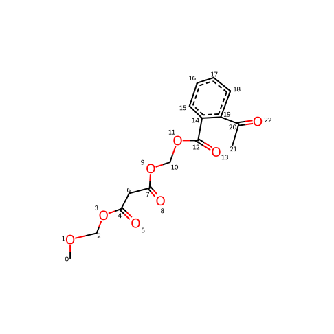 COCOC(=O)CC(=O)OCOC(=O)c1ccccc1C(C)=O